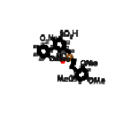 COc1cc(OC)c(C=C[S+]([O-])Cc2cc(S(=O)(=O)O)c([N+](=O)[O-])c(-c3ccccc3OC)c2[N+](=O)[O-])c(OC)c1